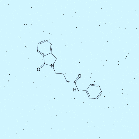 O=C(CCCN1Cc2ccccc2C1=O)Nc1ccccc1